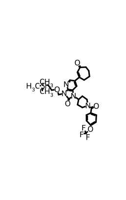 C[Si](C)(C)CCOCn1c(=O)n(C2CCN(C(=O)c3ccc(OC(F)(F)F)cc3)CC2)c2cc(C3=CC(=O)CCCC3)cnc21